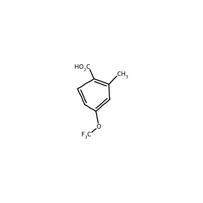 Cc1cc(OC(F)(F)F)ccc1C(=O)O